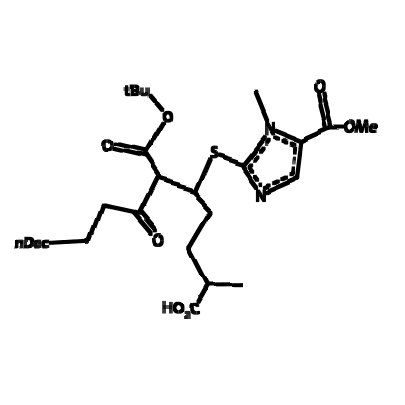 CCCCCCCCCCCCC(=O)C(C(=O)OC(C)(C)C)C(CCC(C)C(=O)O)Sc1ncc(C(=O)OC)n1C